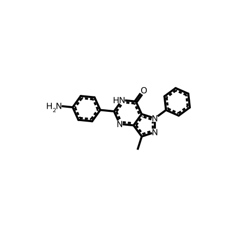 Cc1nn(-c2ccccc2)c2c(=O)[nH]c(-c3ccc(N)cc3)nc12